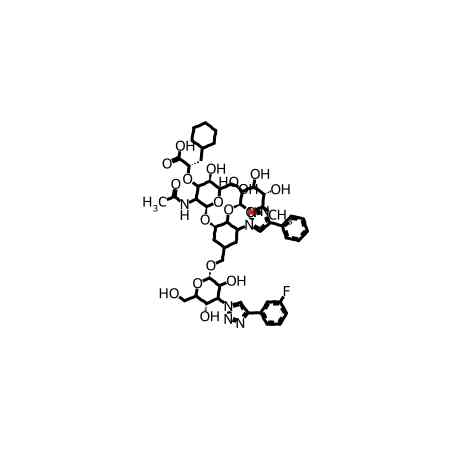 CC(=O)NC1C(O[C@@H](CC2CCCCC2)C(=O)O)[C@@H](O)C(CO)O[C@H]1O[C@@H]1CC(CO[C@H]2OC(CO)[C@@H](O)C(n3cc(-c4cccc(F)c4)nn3)C2O)CC(n2cc(-c3ccccc3)nn2)C1O[C@@H]1OC(C)[C@@H](O)C(O)C1O